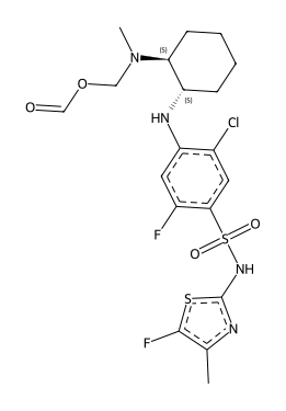 Cc1nc(NS(=O)(=O)c2cc(Cl)c(N[C@H]3CCCC[C@@H]3N(C)COC=O)cc2F)sc1F